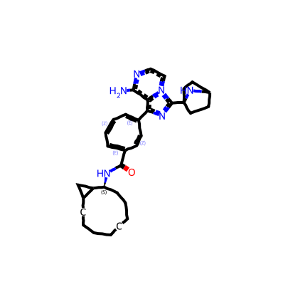 Nc1nccn2c(C34CCC(CC3)N4)nc(C3=C/C=C\C=C(C(=O)N[C@H]4CCCCCCCCC5CC54)/C=C\3)c12